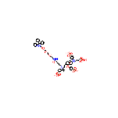 CC1(C)C(/C=C/C2=C(Oc3ccc(S(=O)(=O)O)cc3)C(=C/C=C3/N(CCCCS(=O)(=O)O)c4ccc(S(=O)(=O)O)cc4C3(C)C)/CCC2)=[N+](CCCCCC(=O)NCCCOCCOCCOCCNC(c2ccccc2)(c2ccccc2)c2ccccc2)c2ccc(S(=O)(=O)O)cc21